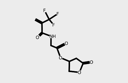 C=C(C(=O)NCC(=O)OC1COC(=O)C1)C(F)(F)F